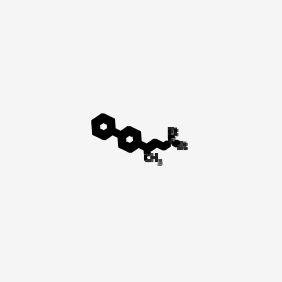 CCN(CC)CC=C(C)c1ccc(-c2ccccc2)cc1